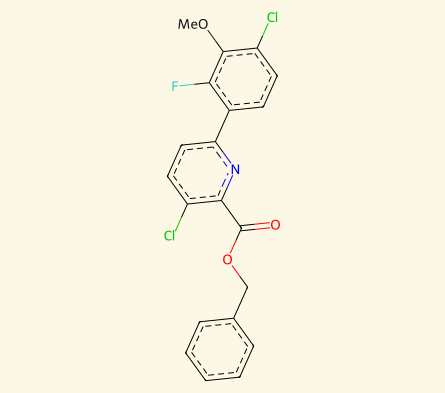 COc1c(Cl)ccc(-c2ccc(Cl)c(C(=O)OCc3ccccc3)n2)c1F